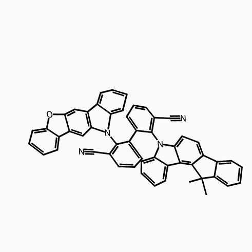 CC1(C)c2ccccc2-c2ccc3c(c21)c1ccccc1n3-c1c(C#N)cccc1-c1cccc(C#N)c1-n1c2ccccc2c2cc3oc4ccccc4c3cc21